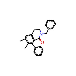 Cc1cc2c(c(-c3ccccc3)c1C)C(=O)N(Cc1ccccc1)CC2